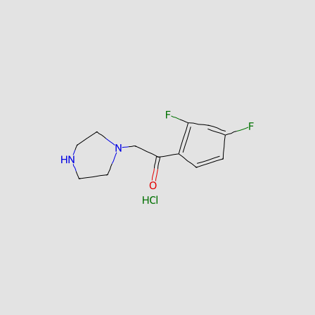 Cl.O=C(CN1CCNCC1)c1ccc(F)cc1F